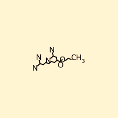 CCCCOC(=O)C(CCCCCC(C#N)C#N)CC(C#N)C#N